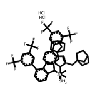 Cl.Cl.[CH3][Zr]([CH3])(=[SiH2])([CH]1C(CC23CCC(CC2)C3)=Cc2c(-c3cc(C(F)(F)F)cc(C(F)(F)F)c3)cccc21)[CH]1C(CC23CCC(CC2)C3)=Cc2c(-c3cc(C(F)(F)F)cc(C(F)(F)F)c3)cccc21